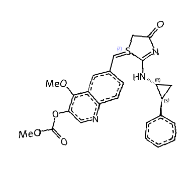 COC(=O)Oc1cnc2ccc(/C=S3/CC(=O)N=C3N[C@@H]3C[C@H]3c3ccccc3)cc2c1OC